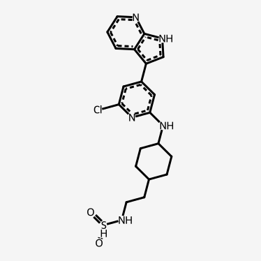 O=[SH](=O)NCCC1CCC(Nc2cc(-c3c[nH]c4ncccc34)cc(Cl)n2)CC1